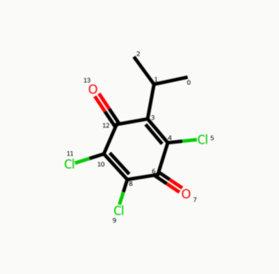 CC(C)C1=C(Cl)C(=O)C(Cl)=C(Cl)C1=O